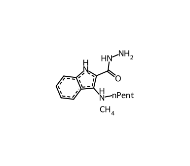 C.CCCCCNc1c(C(=O)NN)[nH]c2ccccc12